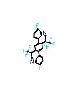 N#C/C(=c1/cc(-c2ccc(F)cc2)/c(=C(\C#N)C(F)(F)F)cc1-c1ccc(F)cc1)C(F)(F)F